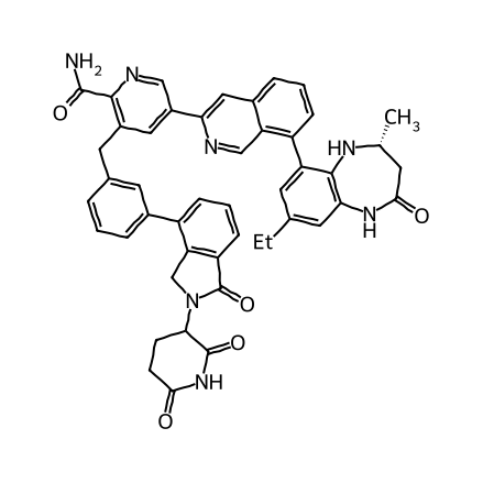 CCc1cc2c(c(-c3cccc4cc(-c5cnc(C(N)=O)c(Cc6cccc(-c7cccc8c7CN(C7CCC(=O)NC7=O)C8=O)c6)c5)ncc34)c1)N[C@H](C)CC(=O)N2